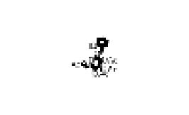 CC(=O)OC[C@H]1O[C@H](OCc2ccccc2O)[C@H](OC(C)=O)[C@@H](OC(C)=O)[C@@H]1OC(C)=O